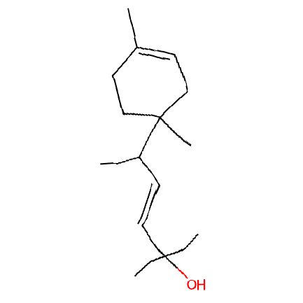 CC1=CCC(C)(C(C)C=CC(C)(C)O)CC1